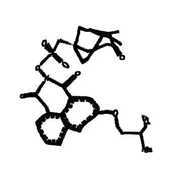 CCCCC(CC)COc1cc2c3c(cccc3c1)C(=O)N(OS(=O)(=O)C[C@]13CC4CC(=O)C1(C3)C4(C)C)C2=O